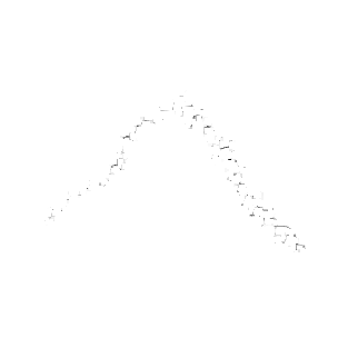 CCOCC.ClCCl.ClCCl.ClCCl.ClCCl.ClCCl.ClCCl.ClCCl.ClCCl.ClCCl.ClCCl.ClCCl.ClCCl.ClCCl.ClCCl.ClCCl.ClCCl.ClCCl.ClCCl.ClCCl.ClCCl